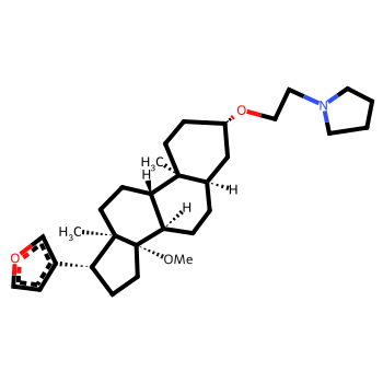 CO[C@]12CC[C@H](c3ccoc3)[C@@]1(C)CC[C@H]1[C@H]2CC[C@@H]2C[C@@H](OCCN3CCCC3)CC[C@@]21C